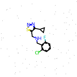 Fc1cccc(Cl)c1CNCc1snnc1C1CC1